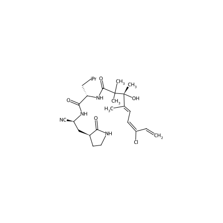 C=C/C(Cl)=C\C=C(/C)[C@@](C)(O)C(C)(C)C(=O)N[C@@H](CC(C)C)C(=O)N[C@H](C#N)C[C@@H]1CCNC1=O